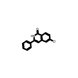 O=c1[nH]c(-c2ccccc2)cc2cc(Cl)ccc12